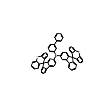 c1ccc(-c2cccc(N(c3ccc4c(c3)-c3ccccc3C43c4ccccc4Oc4ccccc43)c3ccc4c(c3)C3(c5ccccc5Sc5ccccc53)c3ccccc3-4)c2)cc1